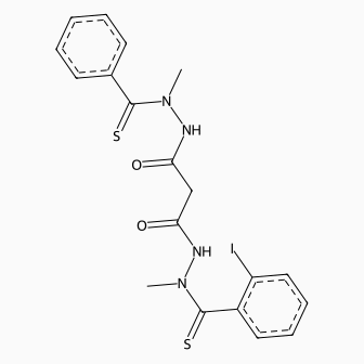 CN(NC(=O)CC(=O)NN(C)C(=S)c1ccccc1I)C(=S)c1ccccc1